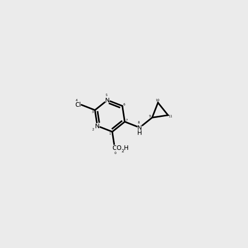 O=C(O)c1nc(Cl)ncc1NC1CC1